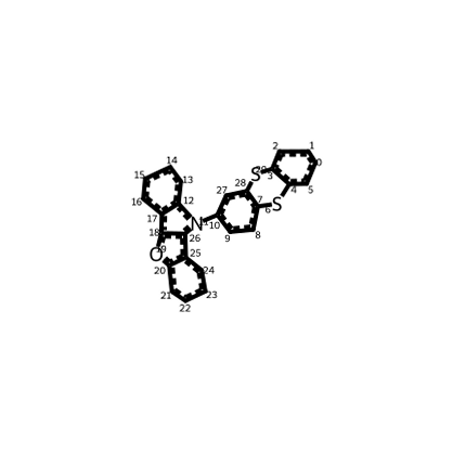 c1ccc2c(c1)Sc1ccc(-n3c4ccccc4c4oc5ccccc5c43)cc1S2